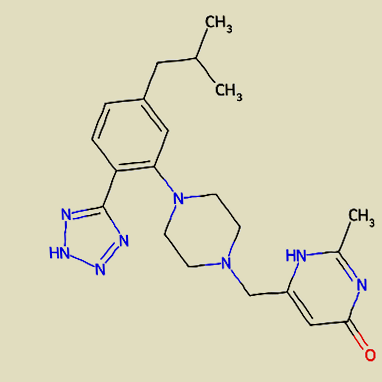 Cc1nc(=O)cc(CN2CCN(c3cc(CC(C)C)ccc3-c3nn[nH]n3)CC2)[nH]1